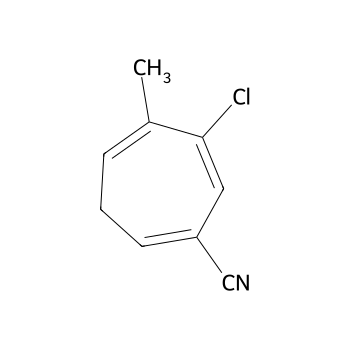 CC1=CCC=C(C#N)C=C1Cl